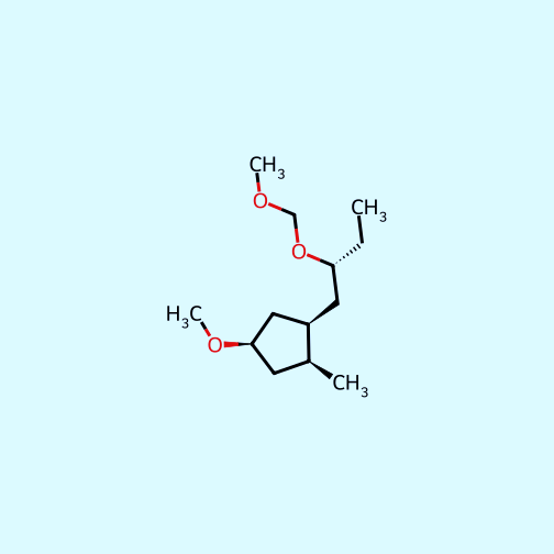 CC[C@H](C[C@@H]1C[C@H](OC)C[C@@H]1C)OCOC